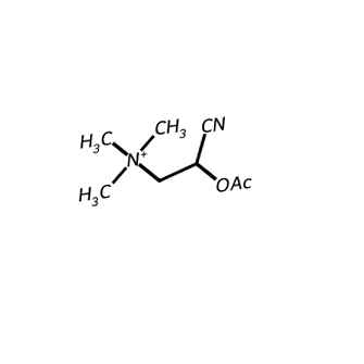 CC(=O)OC(C#N)C[N+](C)(C)C